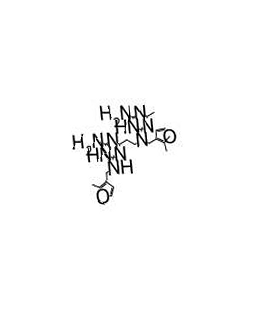 Cc1occc1CNC1=NC(CCN(Cc2ccoc2C)C2=NC(C)N=C(N)N2)N=C(N)N1